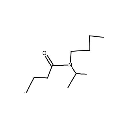 [CH2]CCC(=O)N(CCCC)C(C)C